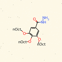 CCCCCCCCOc1cc(C(=O)NN)cc(OCCCCCCCC)c1OCCCCCCCC